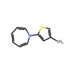 Cc1csc(N2C=CC=CC=C2)c1